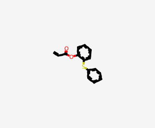 C=CC(=O)Oc1ccccc1Sc1ccccc1